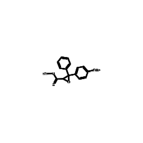 CCCOC(=O)C1OC1(c1ccccc1)c1ccc(OC)cc1